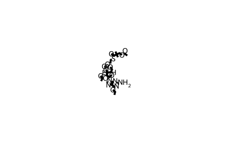 CCOc1nc(N)nc2c1ncn2[C@@H]1O[C@@H]2COP(=O)(OCCSC(=O)C(C)(C)COC(C)=O)O[C@H]2[C@@]1(C)OC(C)=O